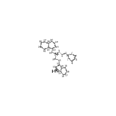 C(=C\c1ccccc1)/CN(CCc1c[nH]c2ccccc12)Cc1cccc2ccccc12